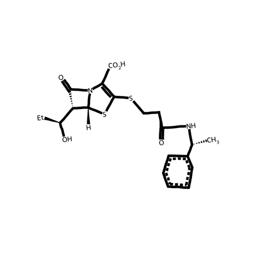 CC[C@H](O)[C@@H]1C(=O)N2C(C(=O)O)=C(SCCC(=O)N[C@H](C)c3ccccc3)S[C@H]12